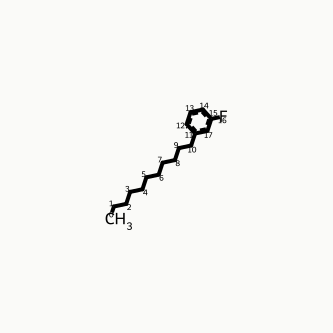 CCCCCCCCCCCc1[c]ccc(F)c1